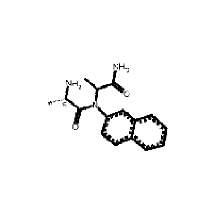 CC(C(N)=O)N(C(=O)[C@H](C)N)c1ccc2ccccc2c1